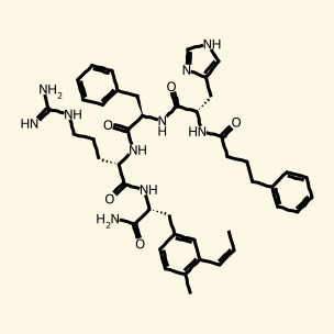 C/C=C\c1cc(C[C@@H](NC(=O)[C@H](CCCNC(=N)N)NC(=O)[C@@H](Cc2ccccc2)NC(=O)[C@H](Cc2c[nH]cn2)NC(=O)CCCc2ccccc2)C(N)=O)ccc1C